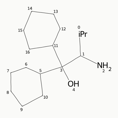 CC(C)C(N)C(O)(C1CCCCC1)C1CCCCC1